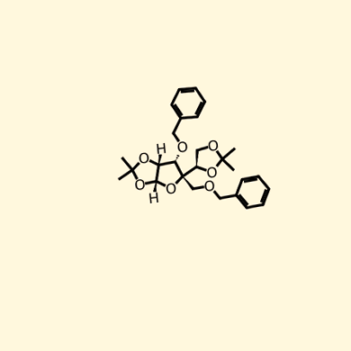 CC1(C)O[C@H]2O[C@@](COCc3ccccc3)([C@H]3COC(C)(C)O3)[C@@H](OCc3ccccc3)[C@H]2O1